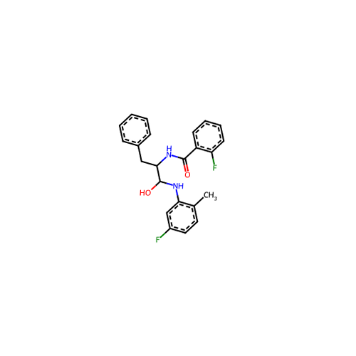 Cc1ccc(F)cc1NC(O)C(Cc1ccccc1)NC(=O)c1ccccc1F